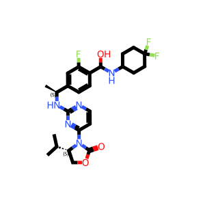 CC(C)[C@H]1COC(=O)N1c1ccnc(N[C@@H](C)c2ccc(C(O)NC3CCC(F)(F)CC3)c(F)c2)n1